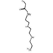 NCCNCCNCCNC(=O)CCl